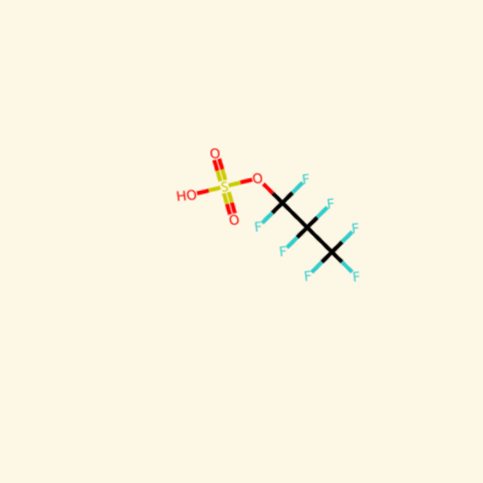 O=S(=O)(O)OC(F)(F)C(F)(F)C(F)(F)F